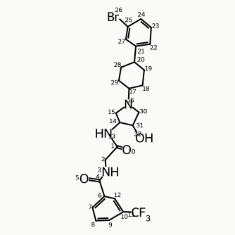 O=C(CNC(=O)c1cccc(C(F)(F)F)c1)NC1CN(C2CCC(c3cccc(Br)c3)CC2)CC1O